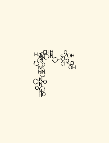 CC1(C)C[C@@H](Nc2cccc(-c3sc(C(=O)O)c(OCC(=O)O)c3Cl)c2)CCN1S(=O)(=O)Cc1cccc(NC(=O)CN2CCC(n3c(=O)n(C4CCC(=O)NC4=O)c4ccccc43)CC2)c1